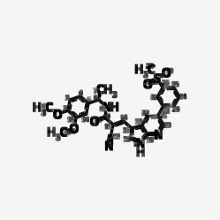 COc1ccc([C@@H](C)NC(=O)/C(C#N)=C/c2c[nH]c3ncc(-c4cccc(S(C)(=O)=O)c4)cc23)cc1OC